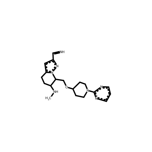 CNC1CCc2cc(C=N)nn2C1COC1CCN(c2ncccn2)CC1